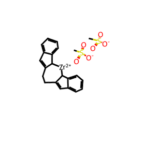 C1=C2CCC3=Cc4ccccc4[CH]3[Zr+2][CH]2c2ccccc21.CS(=O)(=O)[O-].CS(=O)(=O)[O-]